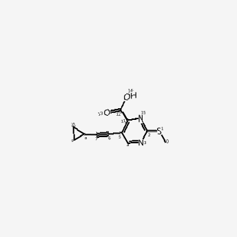 CSc1ncc(C#CC2CC2)c(C(=O)O)n1